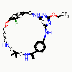 C=C1NCC(C)(C)CNCCCOc2ccc(cc2F)CNc2cc(nc(OCC(F)(F)F)n2)Nc2ccc1cc2